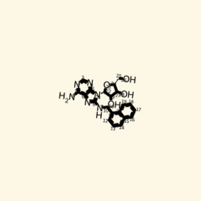 Nc1ncnc2c1nc(NCc1cccc3ccccc13)n2[C@@H]1O[C@H](CO)C(O)C1O